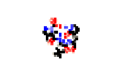 CC(C)[C@](C)(NC(=O)O)C(=O)N[C@@H](CC(C)(C)C)C(=O)N[C@H](C=O)C[C@@H]1CCNC1=O